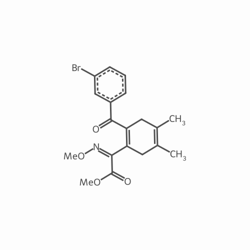 CON=C(C(=O)OC)C1=C(C(=O)c2cccc(Br)c2)CC(C)=C(C)C1